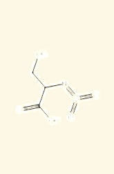 O=C(O)C(CO)N=S(=O)=O